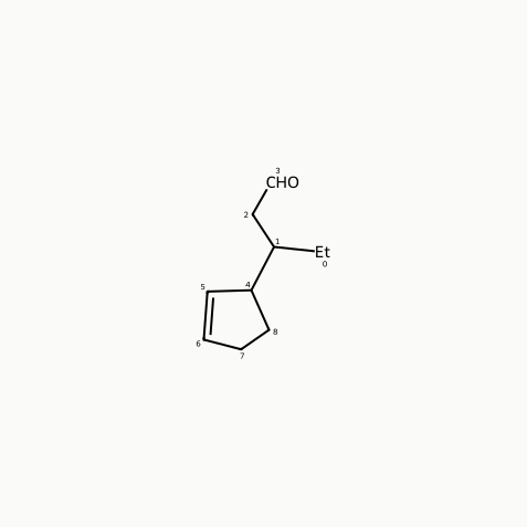 CCC(CC=O)C1C=CCC1